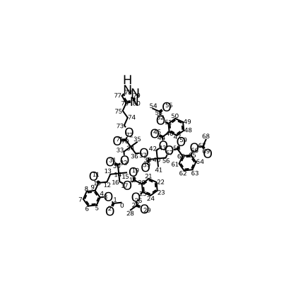 CC(=O)Oc1ccccc1C(=O)CCC(C)(COC(=O)c1ccccc1OC(C)=O)C(=O)OCC(C)(COC(=O)C(C)(COC(=O)c1ccccc1OC(C)=O)COC(=O)c1ccccc1OC(C)=O)C(=O)OCCCc1c[nH]nn1